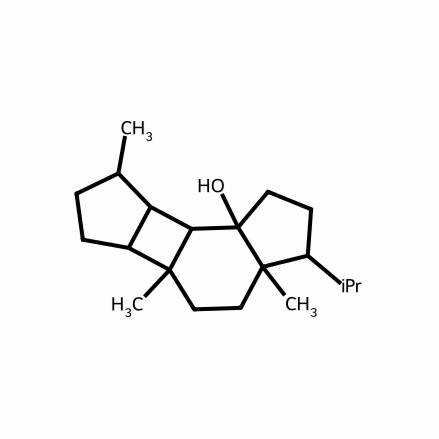 CC(C)C1CCC2(O)C3C4C(C)CCC4C3(C)CCC12C